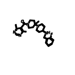 Cc1ncnc(C)c1C(=O)N1CCC(C)(N2CCC(NCc3ccccc3F)CC2)CC1